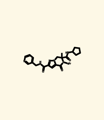 CCCN1C(=O)c2cc(C(=O)NCc3cccnc3)nn2CC1(C)C(=O)NC1CCCC1